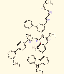 C=C/C(=C\C=C(/C)c1ccc(-c2cccc(C)c2)cc1)N(/C(C)=C\c1cccc(-c2cccc3c2c2ccccc2n3C)c1)c1cc(/C=C/C=C\C=C/C)cc(-c2ccccc2)c1